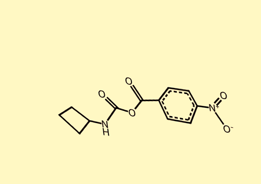 O=C(NC1CCC1)OC(=O)c1ccc([N+](=O)[O-])cc1